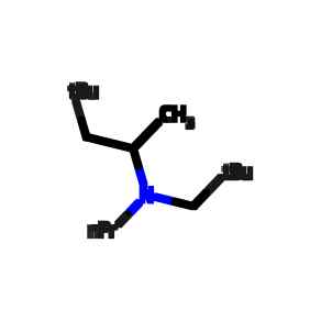 CCCN(CC(C)(C)C)C(C)CC(C)(C)C